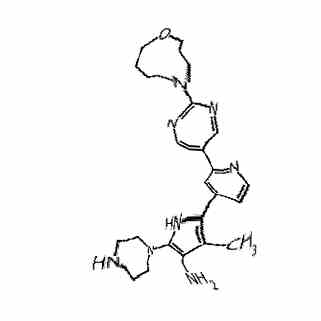 Cc1c(-c2ccnc(-c3cnc(N4CCCOCC4)nc3)c2)[nH]c(N2CCNCC2)c1N